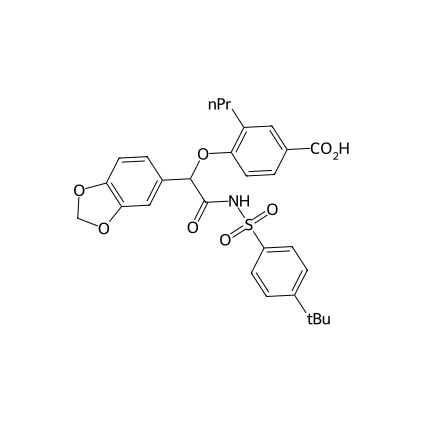 CCCc1cc(C(=O)O)ccc1OC(C(=O)NS(=O)(=O)c1ccc(C(C)(C)C)cc1)c1ccc2c(c1)OCO2